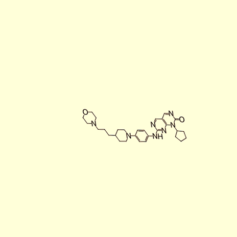 O=c1ncc2cnc(Nc3ccc(N4CCC(CCCN5CCOCC5)CC4)cc3)nc2n1C1CCCC1